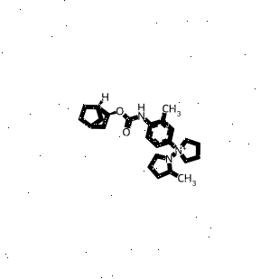 Cc1cc([N+]2(N3CCCC3C)CCCC2)ccc1NC(=O)O[C@H]1CC2CC[C@H]1C2